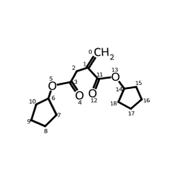 C=C(CC(=O)OC1CCCC1)C(=O)OC1CCCC1